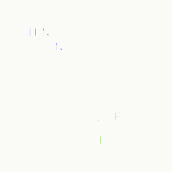 Nn1cc2cc(C(F)(F)F)c3ccccc3c2c1